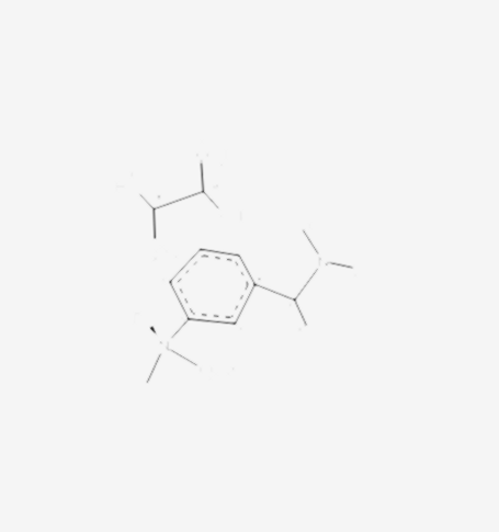 CC[N@+](C)(C(=O)[O-])c1cccc(C(C)N(C)C)c1.O=C(O)C(O)C(O)C(=O)O